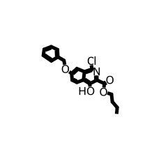 CCCCOC(=O)c1nc(Cl)c2cc(OCc3ccccc3)ccc2c1O